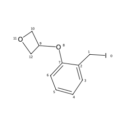 ICc1ccccc1OC1COC1